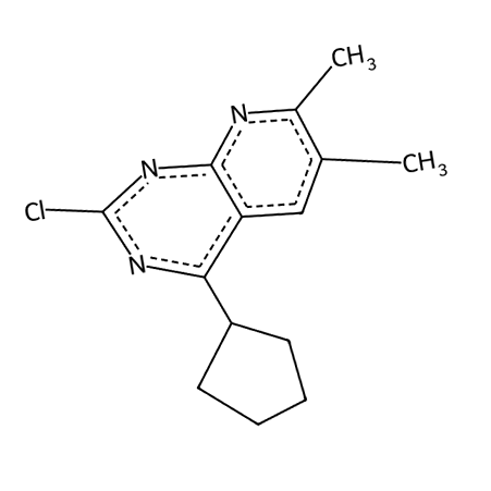 Cc1cc2c(C3CCCC3)nc(Cl)nc2nc1C